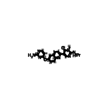 CC(C)Nc1ncc(-c2ccc3cc(Oc4ccnc(N)n4)ccc3n2)c(=O)n1C